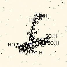 CC1(C)C(=CC=C(/C=C/C2N(CCCS(=O)(=O)O)c3ccc4c(S(=O)(=O)O)cc(S(=O)(=O)O)cc4c3C2(C)C)c2ccc(C(=O)NCCCCCC(=O)Nc3nnc(S(N)(=O)=O)s3)cn2)N(CCCS(=O)(=O)O)c2ccc3c(S(=O)(=O)O)cc(S(=O)(=O)O)cc3c21